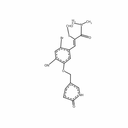 CN(C)C(=O)/C(=C/c1cc(OCc2ccc(=O)[nH]c2)c(N=O)cc1Br)SC=O